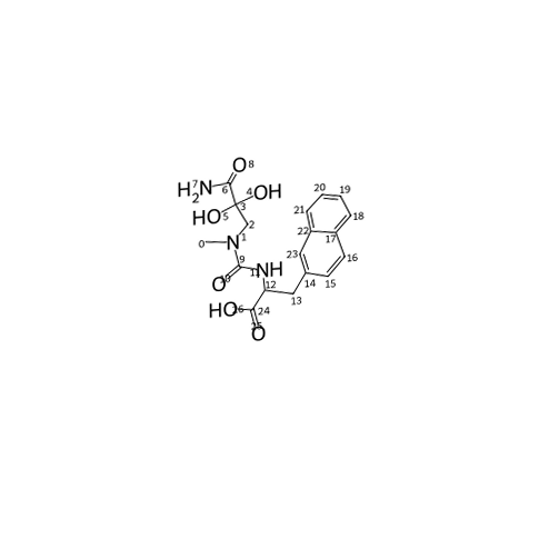 CN(CC(O)(O)C(N)=O)C(=O)NC(Cc1ccc2ccccc2c1)C(=O)O